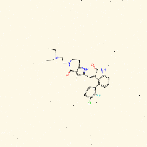 CCN(CC)CCN1CCc2[nH]c(/C=C3\C(=O)Nc4cccc(-c5cccc(Cl)c5F)c43)c(C)c2C1=O